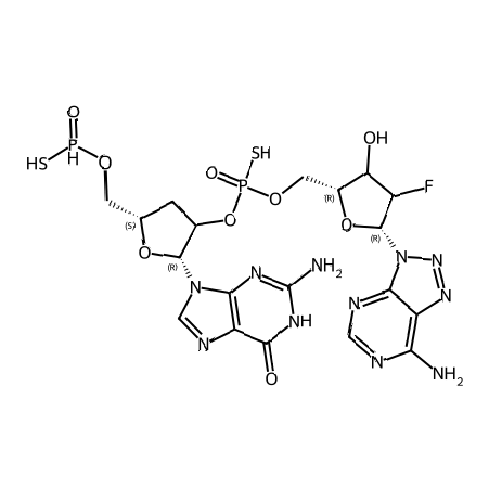 Nc1nc2c(ncn2[C@@H]2O[C@H](CO[PH](=O)S)CC2OP(=O)(S)OC[C@H]2O[C@@H](n3nnc4c(N)ncnc43)C(F)C2O)c(=O)[nH]1